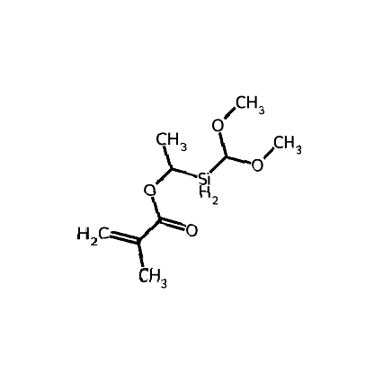 C=C(C)C(=O)OC(C)[SiH2]C(OC)OC